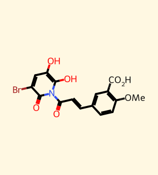 COc1ccc(C=CC(=O)n2c(O)c(O)cc(Br)c2=O)cc1C(=O)O